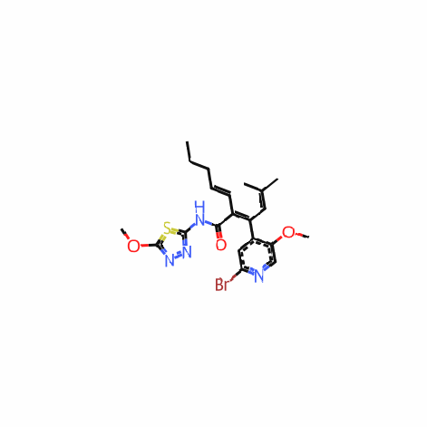 CCC/C=C/C(C(=O)Nc1nnc(OC)s1)=C(\C=C(C)C)c1cc(Br)ncc1OC